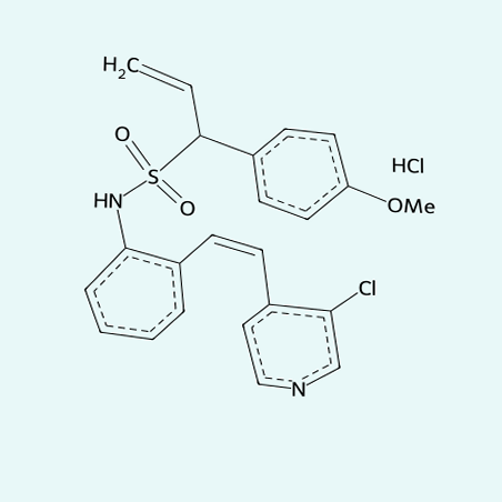 C=CC(c1ccc(OC)cc1)S(=O)(=O)Nc1ccccc1C=Cc1ccncc1Cl.Cl